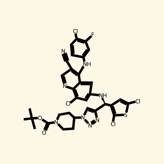 CC(C)(C)OC(=O)N1CCC(n2cc([C@@H](Nc3cc(Cl)c4ncc(C#N)c(Nc5ccc(Cl)c(F)c5)c4c3)c3cc(Cl)sc3Cl)nn2)CC1